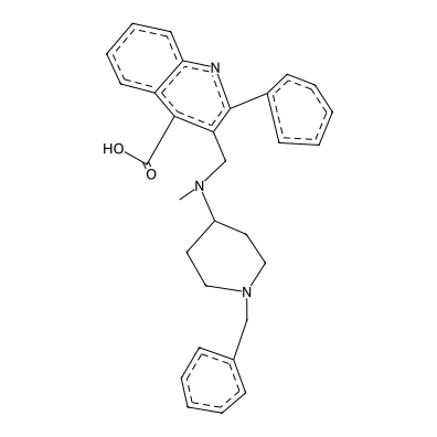 CN(Cc1c(-c2ccccc2)nc2ccccc2c1C(=O)O)C1CCN(Cc2ccccc2)CC1